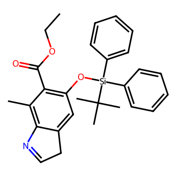 CCOC(=O)c1c(O[Si](c2ccccc2)(c2ccccc2)C(C)(C)C)cc2c(c1C)N=CC2